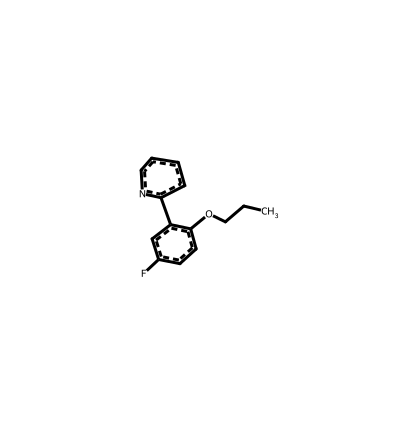 CCCOc1ccc(F)cc1-c1ccccn1